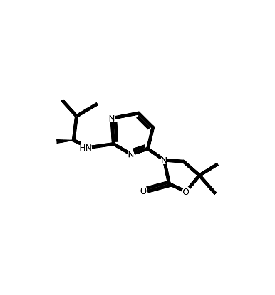 CC(C)[C@H](C)Nc1nccc(N2CC(C)(C)OC2=O)n1